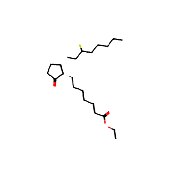 CCCCCC(S)CC[C@H]1CCC(=O)[C@@H]1CCCCCCC(=O)OCC